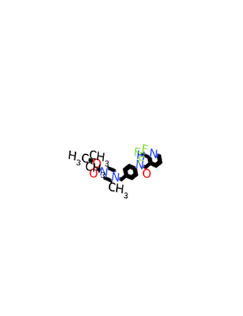 C[C@@H]1CN(C(=O)OC(C)(C)C)CCN1Cc1ccc(NC(=O)c2cccnc2C(F)(F)F)cc1